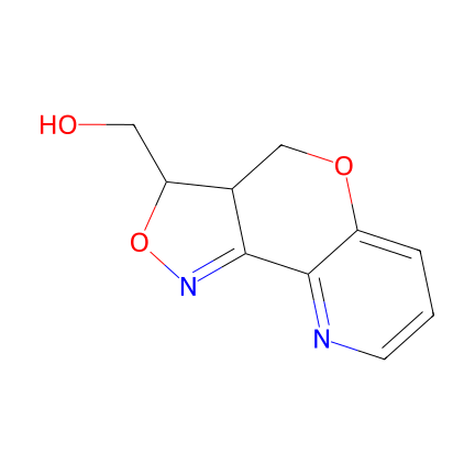 OCC1ON=C2c3ncccc3OCC21